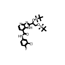 CC(C)(C)[Si](C)(C)OCC(O[Si](C)(C)C(C)(C)C)c1nc2nccc(C(=O)Nc3ccc(F)c(Cl)c3)c2[nH]1